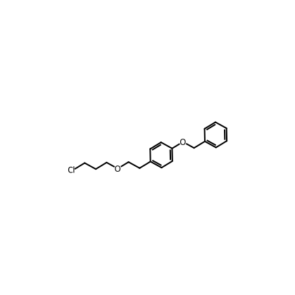 ClCCCOCCc1ccc(OCc2ccccc2)cc1